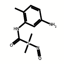 Cc1ccc(N)cc1NC(=O)S(C)(C)N=O